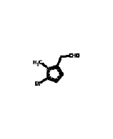 CCc1ccc(CC=O)n1C